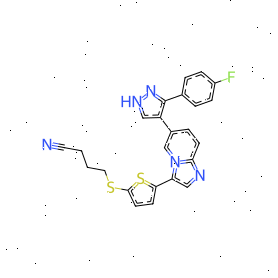 N#CCCCSc1ccc(-c2cnc3ccc(-c4c[nH]nc4-c4ccc(F)cc4)cn23)s1